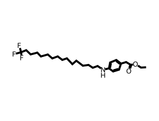 CCOC(=O)Cc1ccc(NCCCCCCCCCCCCCCCC(F)(F)F)cc1